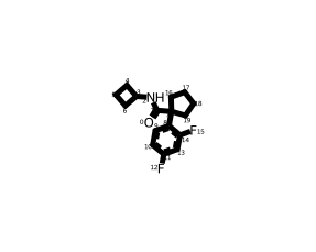 O=C(NC1CCC1)C1(c2ccc(F)cc2F)CCCC1